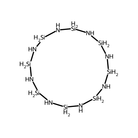 N1[SiH2]N[SiH2]N[SiH2]N[SiH2]N[SiH2]N[SiH2]N[SiH2]N[SiH2]1